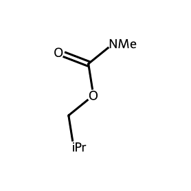 [CH2]NC(=O)OCC(C)C